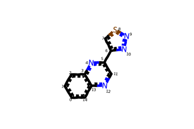 c1ccc2nc(-c3csnn3)cnc2c1